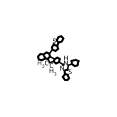 CC1(C)c2cc(C3=Nc4c(sc5ccccc45)C(c4ccccc4)N3)ccc2-c2c(-c3ccc4c(c3)sc3ccccc34)cc3ccccc3c21